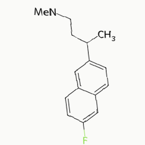 CNCCC(C)c1ccc2cc(F)ccc2c1